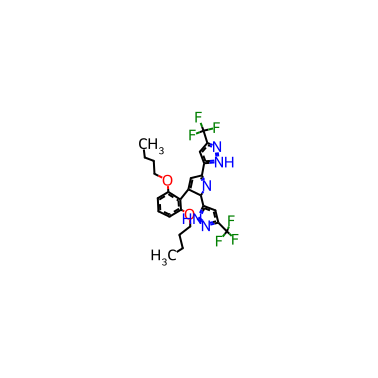 CCCCOc1cccc(OCCCC)c1C1=CC(c2cc(C(F)(F)F)n[nH]2)=NC1c1cc(C(F)(F)F)n[nH]1